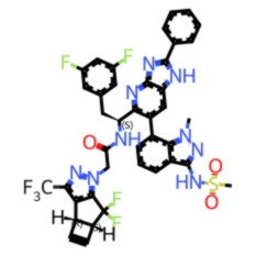 Cn1nc(NS(C)(=O)=O)c2cccc(-c3cc4[nH]c(-c5ccccc5)nc4nc3[C@H](Cc3cc(F)cc(F)c3)NC(=O)Cn3nc(C(F)(F)F)c4c3C(F)(F)[C@@H]3C#C[C@H]43)c21